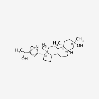 CC(O)c1cc([C@H]2CCC3C4CC[C@H]5C[C@](C)(O)CC[C@]5(C)C4CC[C@@]32C)no1